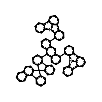 c1ccc2c(c1)-c1c(-c3c4cccc(-c5cccc6c7cccc8c9ccccc9n(c56)c87)c4cc4c(-c5cccc6c7cccc8c9ccccc9n(c56)c87)cccc34)cccc1C21c2ccccc2-c2c1ccc1ccccc21